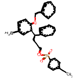 Bc1ccc(OCc2ccccc2)c(C(CCOS(=O)(=O)c2ccc(C)cc2)c2ccccc2)c1